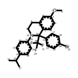 COc1ccc2c(c1)CCN(c1ccc(C(C)C)cc1)C2(c1ccc(Br)cc1)C(F)(F)F